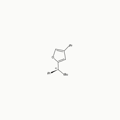 CC(C)c1coc([C@H](C(C)C)C(C)(C)C)c1